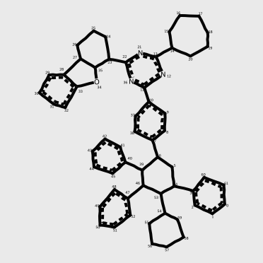 c1ccc(C2CC(c3ccc(-c4nc(C5CCCCCC5)nc(C5CCCC6c7ccccc7OC56)n4)cc3)C(c3ccccc3)C(c3ccccc3)C2C2CCCCC2)cc1